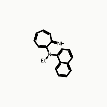 CCN(c1cccccc1=N)c1cccc2ccccc12